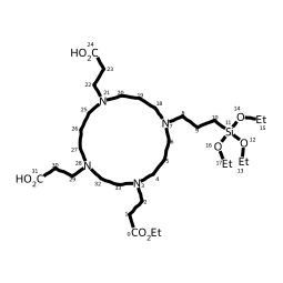 CCOC(=O)CCN1CCCN(CCC[Si](OCC)(OCC)OCC)CCCN(CCC(=O)O)CCCN(CCC(=O)O)CC1